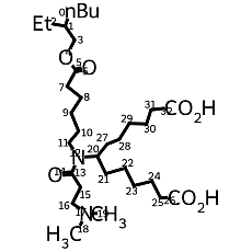 CCCCC(CC)COC(=O)CCCCCN(C(=O)CCN(C)C)C(CCCCCC(=O)O)CCCCCC(=O)O